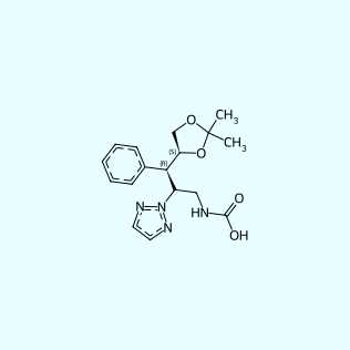 CC1(C)OC[C@H]([C@H](c2ccccc2)C(CNC(=O)O)n2nccn2)O1